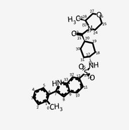 Cc1ccccc1-c1cc2ccc(S(=O)(=O)N[C@H]3CC[C@H](C(=O)N4CCOC[C@@H]4C)CC3)cc2[nH]1